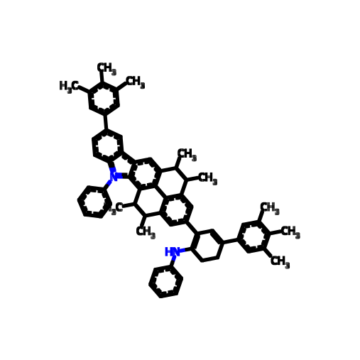 Cc1cc(C2=CC(c3cc4c5c(c3)C(C)C(C)c3c-5c(cc5c6cc(-c7cc(C)c(C)c(C)c7)ccc6n(-c6ccccc6)c35)C(C)C4C)=C(Nc3ccccc3)CC2)cc(C)c1C